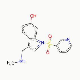 CNCc1cn(S(=O)(=O)c2cccnc2)c2cc(O)ccc12